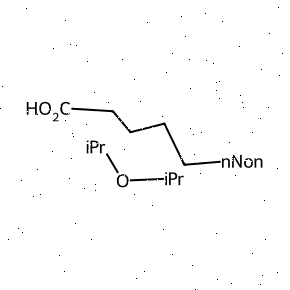 CC(C)OC(C)C.CCCCCCCCCCCCCC(=O)O